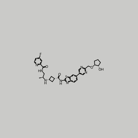 C[C@@H](CNC(=O)c1cc(F)ccn1)N[C@H]1C[C@@H](C(=O)Nc2nc3ccc(-c4cnc(CO[C@H]5CCC[C@@H]5O)nc4)cc3s2)C1